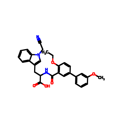 CCOc1ccc(-c2cccc(OC)c2)cc1C(=O)NC(Cc1cn(CC#N)c2ccccc12)C(=O)O